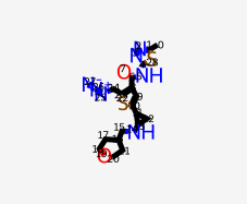 Cc1nnc(NC(=O)c2cc(C3CC3NCC3CCOCC3)sc2CN=[N+]=[N-])s1